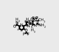 CN1C(N)=NC(C)(c2nc(-c3nc(C(N)=O)ccc3OC(F)F)cs2)C(C)(C)S1(=O)=O